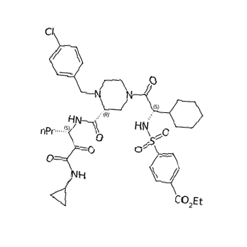 CCC[C@H](NC(=O)[C@H]1CN(C(=O)[C@@H](NS(=O)(=O)c2ccc(C(=O)OCC)cc2)C2CCCCC2)CCN1Cc1ccc(Cl)cc1)C(=O)C(=O)NC1CC1